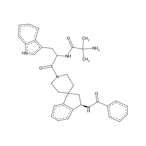 CC(C)(N)C(=O)NC(Cc1c[nH]c2ccccc12)C(=O)N1CCC2(CC1)C[C@@H](NC(=O)c1ccccc1)c1ccccc12